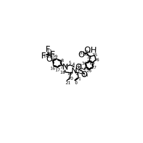 C=CC(N1CCN(c2ccc(OC(F)(F)F)cc2)CC1CC)S(=O)(=O)c1ccc2c(c1)C(C(=O)O)CC2